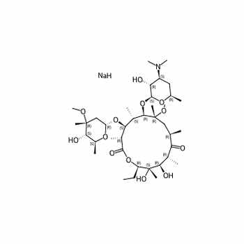 CC[C@H]1OC(=O)[C@H](C)[C@@H](O[C@H]2C[C@@](C)(OC)[C@@H](O)[C@H](C)O2)[C@H](C)[C@@H](O[C@@H]2O[C@H](C)C[C@H](N(C)C)[C@H]2O)[C@](C)(OC)C[C@@H](C)C(=O)[C@H](C)[C@@H](O)[C@]1(C)O.[NaH]